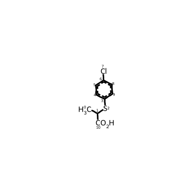 CC(Sc1ccc(Cl)cc1)C(=O)O